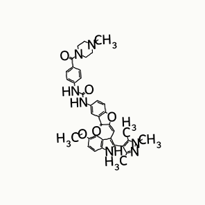 COc1ccc2[nH]c(-c3c(C)nn(C)c3C)c(C=C3Oc4ccc(NC(=O)Nc5ccc(C(=O)N6CCN(C)CC6)cc5)cc4C3=O)c2c1